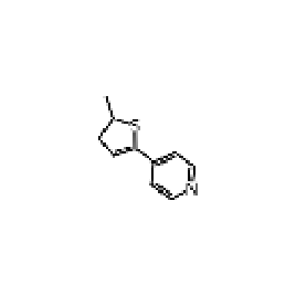 CC1CC=C(c2ccncc2)S1